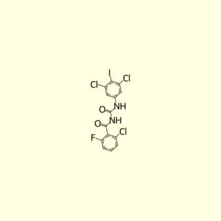 O=C(NC(=O)c1c(F)cccc1Cl)Nc1cc(Cl)c(I)c(Cl)c1